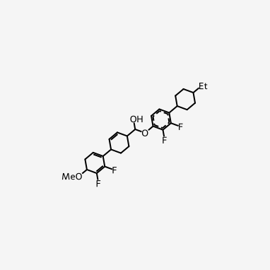 CCC1CCC(c2ccc(OC(O)C3C=CC(C4=CCC(OC)C(F)=C4F)CC3)c(F)c2F)CC1